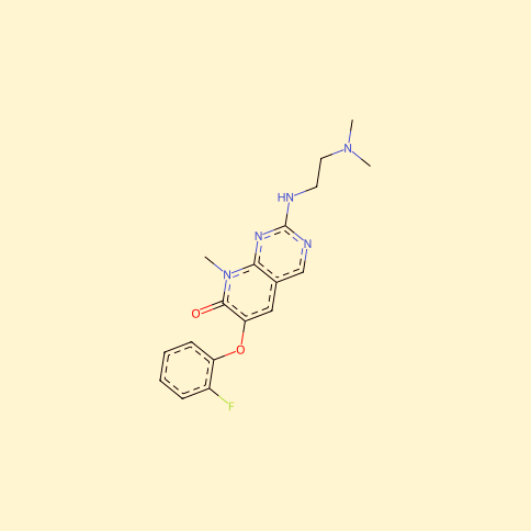 CN(C)CCNc1ncc2cc(Oc3ccccc3F)c(=O)n(C)c2n1